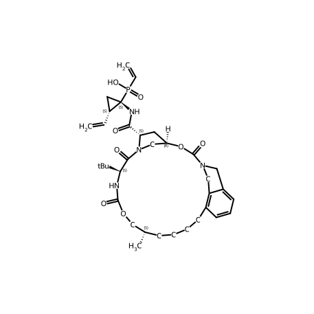 C=C[C@@H]1C[C@]1(NC(=O)[C@@H]1C[C@@H]2CN1C(=O)[C@H](C(C)(C)C)NC(=O)OC[C@@H](C)CCCCc1cccc3c1CN(C3)C(=O)O2)P(=O)(O)C=C